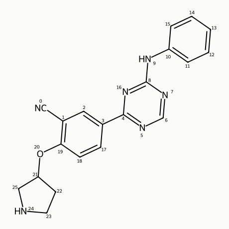 N#Cc1cc(-c2ncnc(Nc3ccccc3)n2)ccc1OC1CCNC1